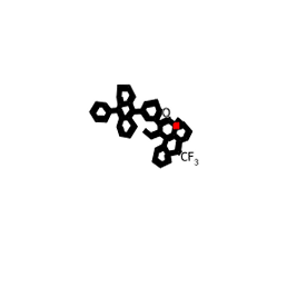 C=Cc1oc2ccc(-c3c4ccccc4c(-c4ccccc4)c4ccccc34)cc2c1/C(=C\C)c1c2ccccc2c(C(F)(F)F)c2ccccc12